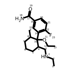 CCNCC1CCCC(C)C1(OCC)c1cc(C(N)=O)ccc1F